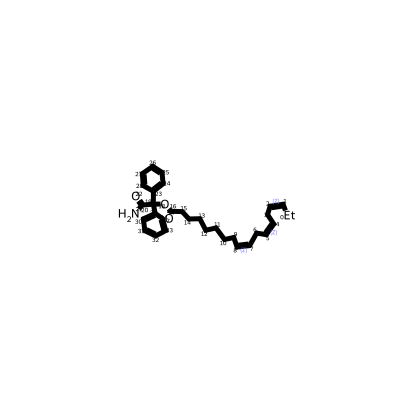 CC/C=C\C/C=C\C/C=C\CCCCCCCC(=O)OC(C(N)=O)(c1ccccc1)c1ccccc1